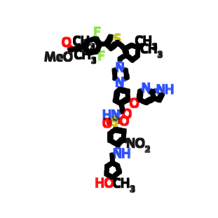 COC(=O)C(C)(C)c1cc(F)c(-c2csc(C3=C(CN4CCN(c5ccc(C(=O)NS(=O)(=O)c6ccc(NCC7CCC(C)(O)CC7)c([N+](=O)[O-])c6)c(Oc6cnc7[nH]ccc7c6)c5)CC4)CCC(C)(C)C3)c2)c(F)c1